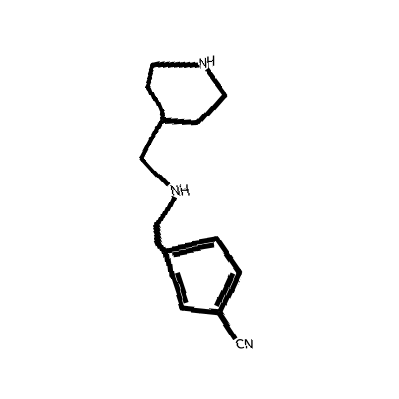 N#Cc1ccc(CNCC2CCNCC2)cc1